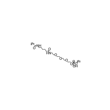 CC(C)OP(=O)(O)OCCOCCOCCOCCNC(=O)CCCCCNC(=O)C(C)C